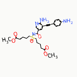 COC(=O)CCCCS(=O)(CCCCC(=O)OC)=NC(=O)c1cnc(N)c(C#Cc2ccc(N)cc2)c1